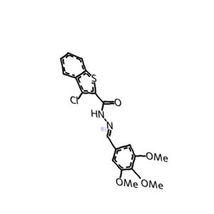 COc1cc(/C=N/NC(=O)c2sc3ccccc3c2Cl)cc(OC)c1OC